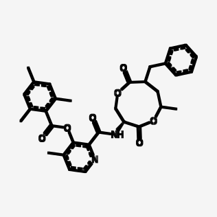 Cc1cc(C)c(C(=O)Oc2c(C)ccnc2C(=O)N[C@H]2COC(=O)C(Cc3ccccc3)CC(C)OC2=O)c(C)c1